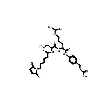 CC(C)(C)C(=O)OCc1ccc(NC(=O)[C@H](CCCNC(N)O)NC(=O)[C@H](CC(=O)O)NC(=O)CCCCCN2C(=O)C=CC2=O)cc1